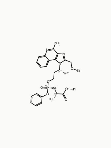 CCC[C@H](CCO[P@](=O)(N[C@@H](C)C(=O)OC(C)C)Oc1ccccc1)n1c(COCC)nc2c(N)nc3ccccc3c21